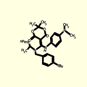 CCCCCC(C)N(Cc1ccc(C(C)(C)C)cc1)C(Nc1ccc(N(C)C)cc1)=C1C(=O)OC(C)(C)OC1=O